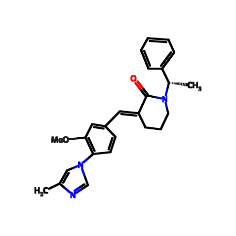 COc1cc(/C=C2\CCCN([C@@H](C)c3ccccc3)C2=O)ccc1-n1cnc(C)c1